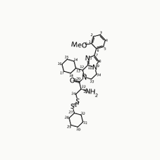 COc1ccccc1-c1cn2c(n1)C(C1CCCCC1)N(C(=O)[C@@H](N)CSSC1CCCCC1)CC2